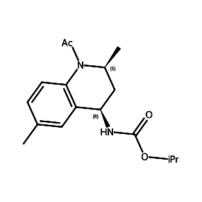 CC(=O)N1c2ccc(C)cc2[C@H](NC(=O)OC(C)C)C[C@@H]1C